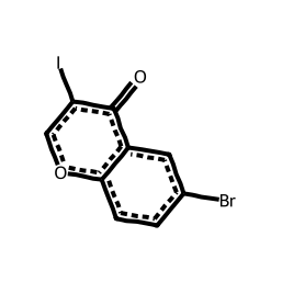 O=c1c(I)coc2ccc(Br)cc12